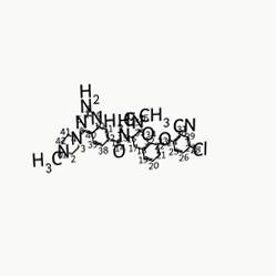 CN1CCN(c2nc(N)nc3cc(C(=O)NC(Cc4cccc(Oc5ccc(Cl)cc5C#N)c4)C(=O)N(C)C)ccc23)CC1